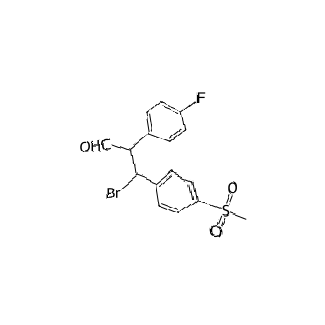 CS(=O)(=O)c1ccc(C(Br)C(C=O)c2ccc(F)cc2)cc1